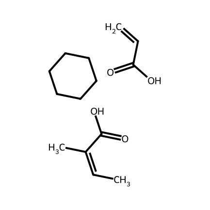 C1CCCCC1.C=CC(=O)O.CC=C(C)C(=O)O